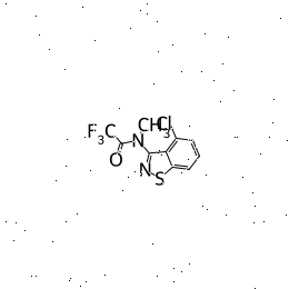 CN(C(=O)C(F)(F)F)c1nsc2cccc(Cl)c12